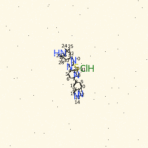 CN(c1nc2ccc(-c3ccc4nn(C)cc4c3)nc2s1)C1CC(C)(C)NC(C)(C)C1.Cl